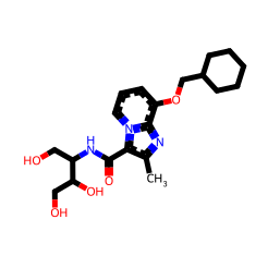 Cc1nc2c(OCC3CCCCC3)cccn2c1C(=O)NC(CO)C(O)CO